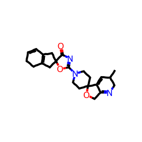 CC1C=C2C(=NC1)COC21CCN(C2=NC(=O)C3(CC4=C(CCC=C4)C3)O2)CC1